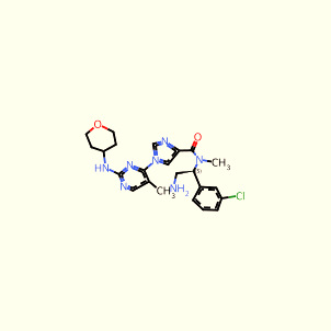 Cc1cnc(NC2CCOCC2)nc1-n1cnc(C(=O)N(C)[C@H](CN)c2cccc(Cl)c2)c1